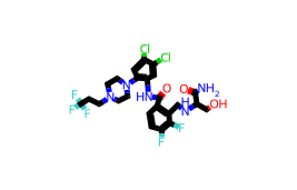 NC(=O)C(CO)NCc1c(C(=O)Nc2cc(Cl)c(Cl)cc2N2CCN(CCC(F)(F)F)CC2)ccc(F)c1F